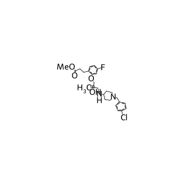 COC(=O)CCc1ccc(F)cc1OC[C@@](C)(O)CNC1CCN(Cc2ccc(Cl)cc2)CC1